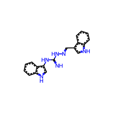 N=C(N/N=C/c1c[nH]c2ccccc12)Nc1c[nH]c2ccccc12